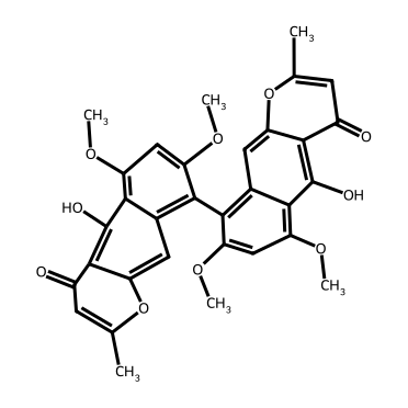 COc1cc(OC)c2c(O)c3c(=O)cc(C)oc3cc2c1-c1c(OC)cc(OC)c2c(O)c3c(=O)cc(C)oc3cc12